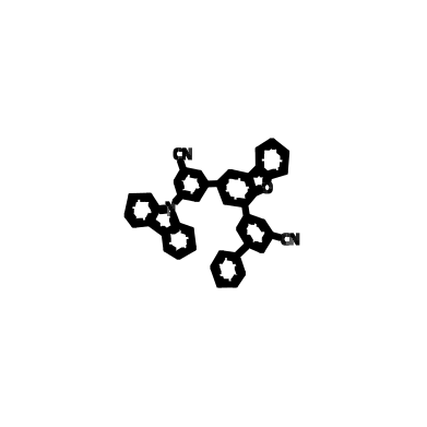 N#Cc1cc(-c2ccccc2)cc(-c2cc(-c3cc(C#N)cc(-n4c5ccccc5c5ccccc54)c3)cc3c2oc2ccccc23)c1